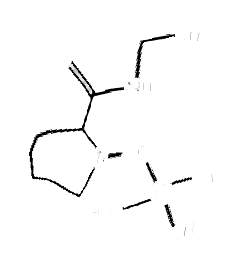 [13CH3]CNC(=O)C1CCC[15N]1[13CH2][13C]([13CH3])([13CH3])[13CH3]